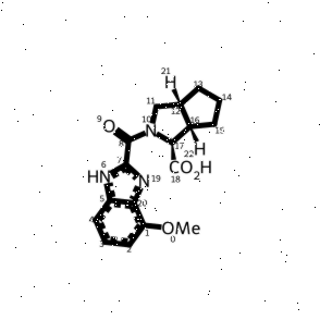 COc1cccc2[nH]c(C(=O)N3C[C@@H]4CCC[C@@H]4[C@H]3C(=O)O)nc12